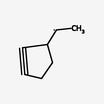 C[CH]C1C#CCC1